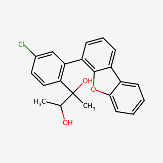 CC(O)C(C)(O)c1ccc(Cl)cc1-c1cccc2c1oc1ccccc12